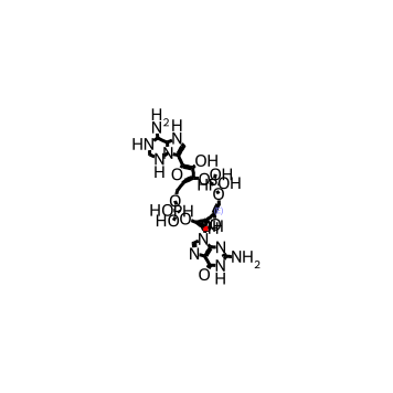 Nc1nc2c(ncn2C2=C3O[PH](O)(O)OCc4oc(C5=CNC6C(N)NCNN56)c(O)c4O[PH](O)(O)O/C=C(/O2)[C@H]3O)c(=O)[nH]1